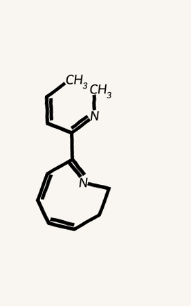 C\C=C/C(=N\C)C1=N\CC\C=C/C=C\1